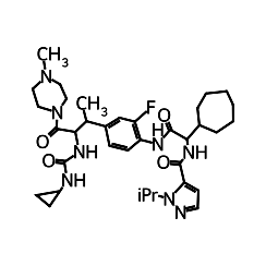 CC(c1ccc(NC(=O)C(NC(=O)c2ccnn2C(C)C)C2CCCCCC2)c(F)c1)C(NC(=O)NC1CC1)C(=O)N1CCN(C)CC1